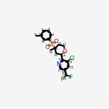 Cc1cccc(S(=O)(=O)C2(C)CCOC(c3ncc(C(F)F)cc3Cl)C2)c1